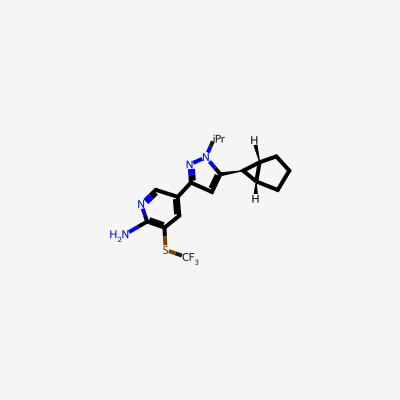 CC(C)n1nc(-c2cnc(N)c(SC(F)(F)F)c2)cc1[C@H]1[C@@H]2CCC[C@@H]21